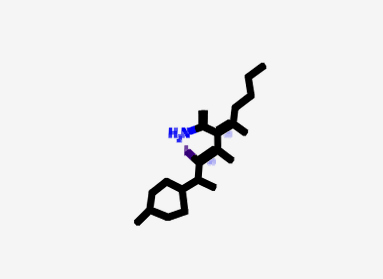 C=C(N)C(=C(/C)CCCC)/C(C)=C(\I)C(C)C1CCC(C)CC1